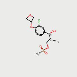 C[C@H](COS(C)(=O)=O)[C@H](O)c1ccc(OC2COC2)c(Cl)c1